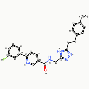 COc1ccc(CCc2nnc(CNC(=O)c3ccc(-c4cccc(F)c4)nc3)[nH]2)cc1